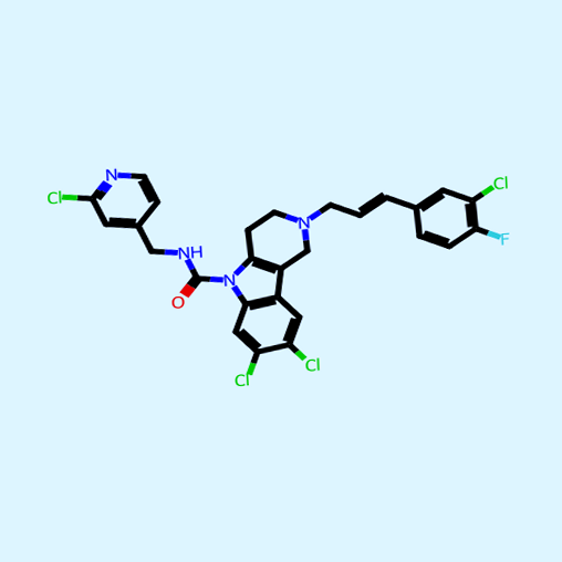 O=C(NCc1ccnc(Cl)c1)n1c2c(c3cc(Cl)c(Cl)cc31)CN(CC=Cc1ccc(F)c(Cl)c1)CC2